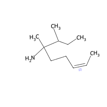 C/C=C\CCC(C)(N)C(C)CC